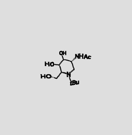 CC(=O)N[C@@H]1CN(C(C)(C)C)C(CO)C(O)C1O